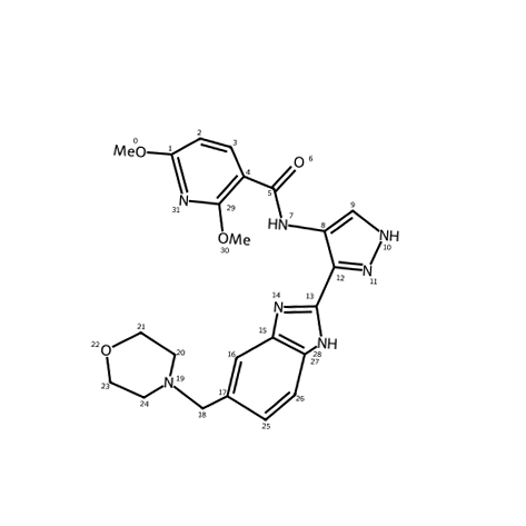 COc1ccc(C(=O)Nc2c[nH]nc2-c2nc3cc(CN4CCOCC4)ccc3[nH]2)c(OC)n1